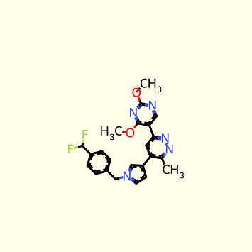 COc1ncc(-c2cc(-c3ccn(Cc4ccc(C(F)F)cc4)c3)c(C)nn2)c(OC)n1